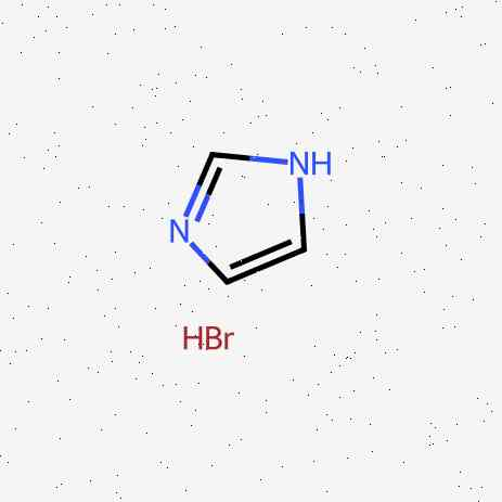 Br.c1c[nH]cn1